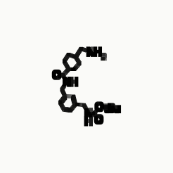 CC(C)(C)OC(=O)NCc1cccc(CNC(=O)C2CCC(CN)CC2)c1